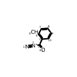 C.N#[N+]C(=O)c1ccccc1